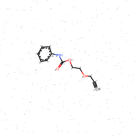 C#CCOCCOC(=O)Nc1ccccc1